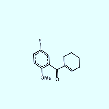 COc1ccc(F)cc1C(=O)C1=CCCCC1